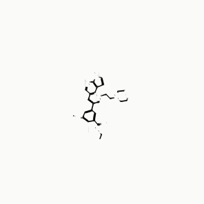 CCNC(=O)c1cc(OC)cc(-c2cc3cnc4[nH]ccc4c3n(CCN3CCOCC3)c2=O)c1